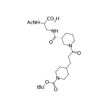 CC(=O)NC(CNC(=O)[C@@H]1CCCN(C(=O)CCC2CCN(C(=O)OC(C)(C)C)CC2)C1)C(=O)O